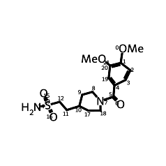 COc1ccc(C(=O)N2CCC(CCS(N)(=O)=O)CC2)cc1OC